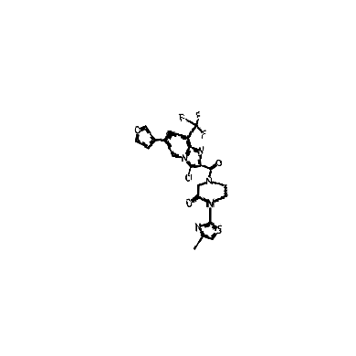 Cc1csc(N2CCN(C(=O)c3nc4c(C(F)(F)F)cc(-c5ccoc5)cn4c3Cl)CC2=O)n1